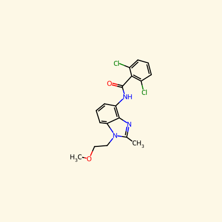 COCCn1c(C)nc2c(NC(=O)c3c(Cl)cccc3Cl)cccc21